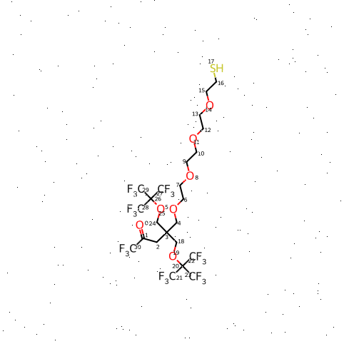 O=C(CC(COCCOCCOCCOCCS)(COC(C(F)(F)F)(C(F)(F)F)C(F)(F)F)COC(C(F)(F)F)(C(F)(F)F)C(F)(F)F)C(F)(F)F